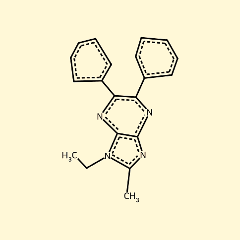 CCn1c(C)nc2nc(-c3ccccc3)c(-c3ccccc3)nc21